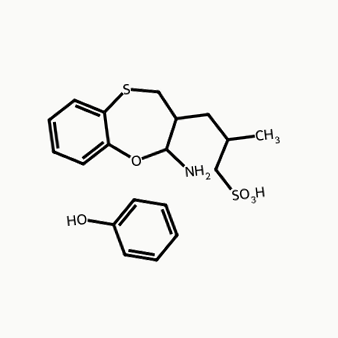 CC(CC1CSc2ccccc2OC1N)CS(=O)(=O)O.Oc1ccccc1